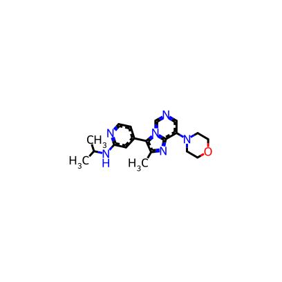 Cc1nc2c(N3CCOCC3)cncn2c1-c1ccnc(NC(C)C)c1